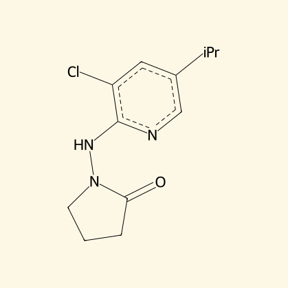 CC(C)c1cnc(NN2CCCC2=O)c(Cl)c1